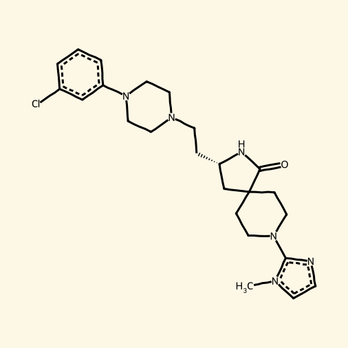 Cn1ccnc1N1CCC2(CC1)C[C@H](CCN1CCN(c3cccc(Cl)c3)CC1)NC2=O